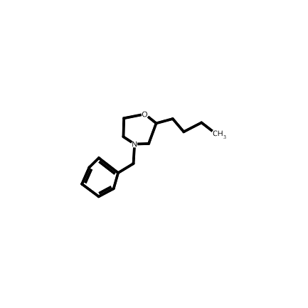 CCCCC1CN(Cc2ccccc2)CCO1